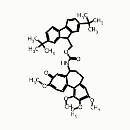 COc1cc2c(c(OC)c1OC)-c1ccc(OC)c(=O)cc1C(NC(=O)OCC1c3cc(C(C)(C)C)ccc3-c3ccc(C(C)(C)C)cc31)CC2